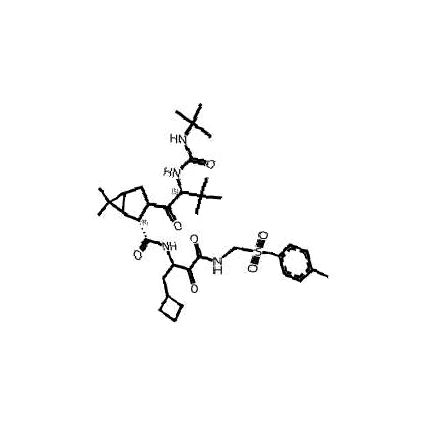 Cc1ccc(S(=O)(=O)CNC(=O)C(=O)C(CC2CCC2)NC(=O)[C@H]2C(C(=O)[C@@H](NC(=O)NC(C)(C)C)C(C)(C)C)CC3C2C3(C)C)cc1